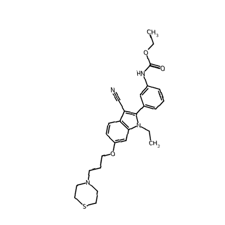 CCOC(=O)Nc1cccc(-c2c(C#N)c3ccc(OCCCN4CCSCC4)cc3n2CC)c1